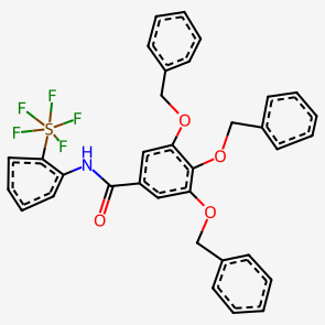 O=C(Nc1ccccc1S(F)(F)(F)(F)F)c1cc(OCc2ccccc2)c(OCc2ccccc2)c(OCc2ccccc2)c1